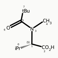 CC(C)[C@@H](C(=O)O)N(C)C(=O)C(C)(C)C